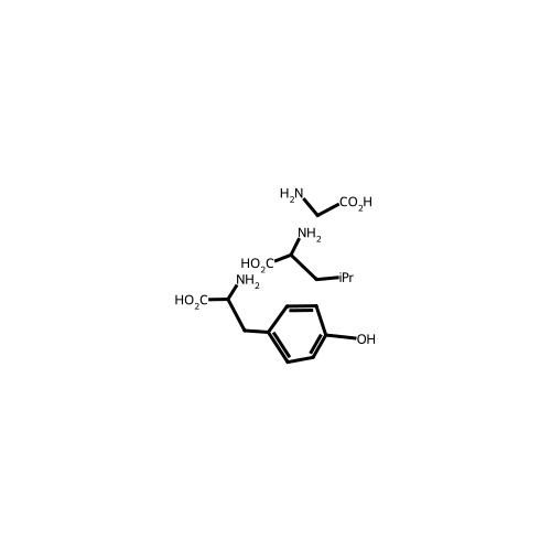 CC(C)CC(N)C(=O)O.NC(Cc1ccc(O)cc1)C(=O)O.NCC(=O)O